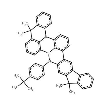 CC(C)(C)c1ccc(N2B3c4cccc5c4N(c4ccccc4C5(C)C)c4cccc(c43)-c3cc4c(cc32)C(C)(C)c2ccccc2-4)cc1